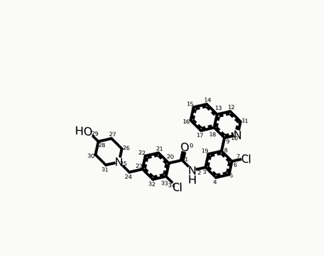 O=C(Nc1ccc(Cl)c(-c2nccc3ccccc23)c1)c1ccc(CN2CCC(O)CC2)cc1Cl